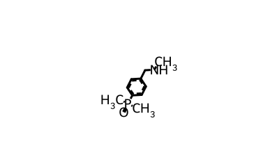 CNCc1ccc(P(C)(C)=O)cc1